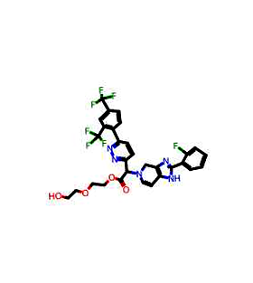 O=C(OCCOCCO)C(c1ccc(-c2ccc(C(F)(F)F)cc2C(F)(F)F)nn1)N1C=Cc2[nH]c(-c3ccccc3F)nc2C1